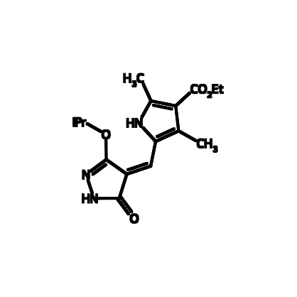 CCOC(=O)c1c(C)[nH]c(C=C2C(=O)NN=C2OC(C)C)c1C